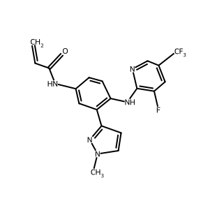 C=CC(=O)Nc1ccc(Nc2ncc(C(F)(F)F)cc2F)c(-c2ccn(C)n2)c1